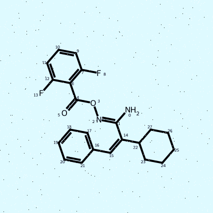 NC(=NOC(=O)c1c(F)cccc1F)C(=Cc1ccccc1)C1CCCCC1